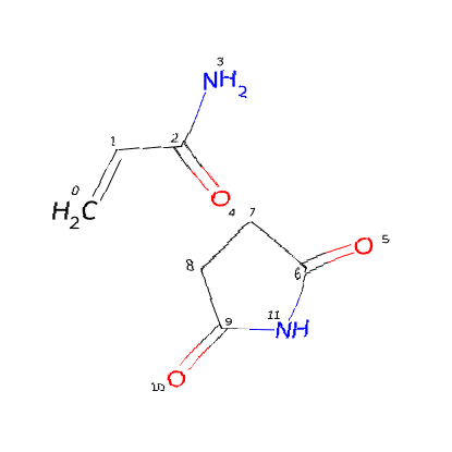 C=CC(N)=O.O=C1CCC(=O)N1